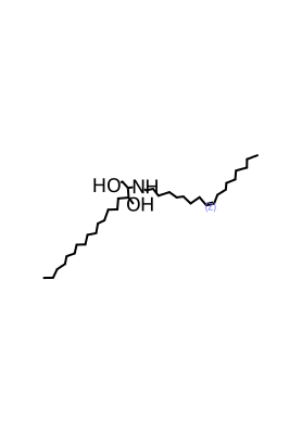 CCCCCCCC/C=C\CCCCCCCCNC(CO)C(O)CCCCCCCCCCCCCCC